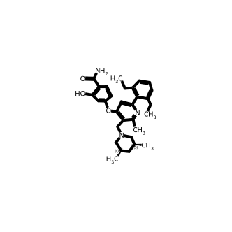 CCc1cccc(CC)c1-c1cc(Oc2ccc(C(N)=O)c(O)c2)c(CN2C[C@H](C)C[C@H](C)C2)c(C)n1